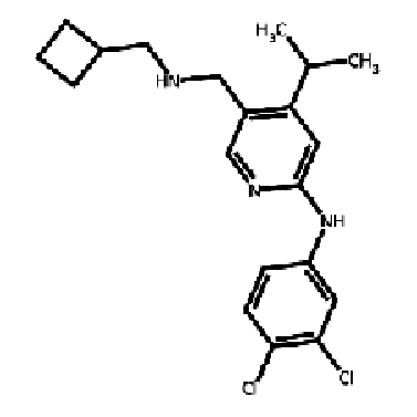 CC(C)c1cc(Nc2ccc(Cl)c(Cl)c2)ncc1CNCC1CCC1